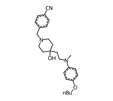 CCCCOc1ccc(N(C)CCC2(O)CCN(Cc3ccc(C#N)cc3)CC2)cc1